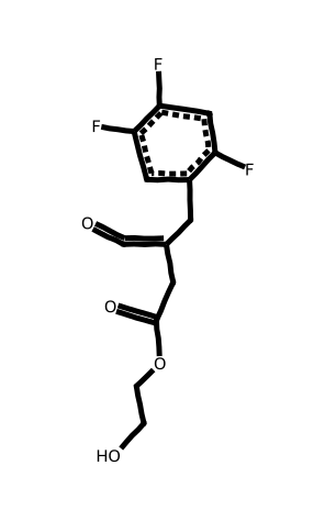 O=C=C(CC(=O)OCCO)Cc1cc(F)c(F)cc1F